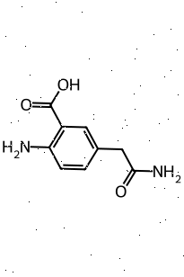 NC(=O)Cc1ccc(N)c(C(=O)O)c1